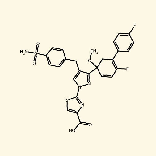 COC1(c2nn(-c3nc(C(=O)O)cs3)cc2Cc2ccc(S(N)(=O)=O)cc2)C=CC(F)=C(c2ccc(F)cc2)C1